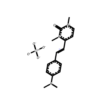 CN(C)c1ccc(/C=C/c2cc[n+](C)c(=O)n2C)cc1.[O-][Cl+3]([O-])([O-])[O-]